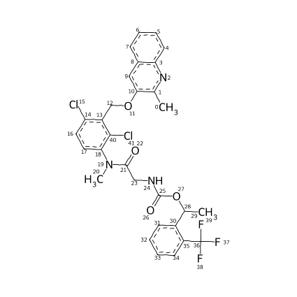 Cc1nc2ccccc2cc1OCc1c(Cl)ccc(N(C)C(=O)CNC(=O)OC(C)c2ccccc2C(F)(F)F)c1Cl